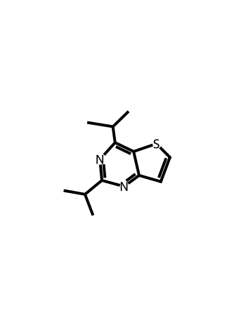 CC(C)c1nc(C(C)C)c2sccc2n1